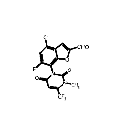 Cn1c(C(F)(F)F)cc(=O)n(-c2c(F)cc(Cl)c3cc(C=O)oc23)c1=O